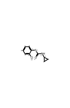 O=C(NC1CC1)Sc1ccccc1Cl